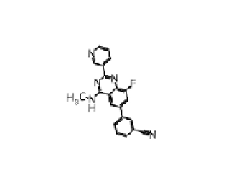 CNc1nc(-c2cccnc2)nc2c(F)cc(-c3cccc(C#N)c3)cc12